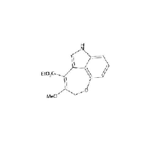 CCOC(=O)C1=C(OC)COc2cccc3[nH]cc1c23